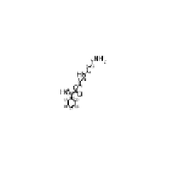 NCCCCNCCCOC(=O)[C@H](O)c1ccccc1